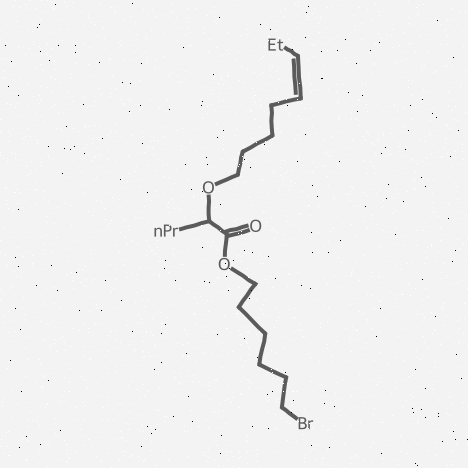 CC/C=C\CCCCOC(CCC)C(=O)OCCCCCCBr